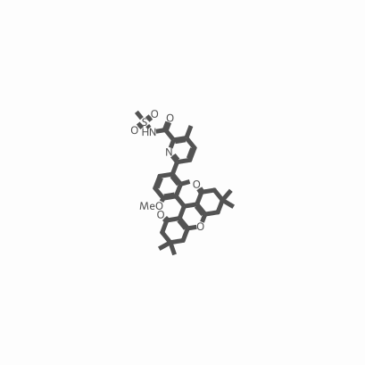 COc1ccc(-c2ccc(C)c(C(=O)NS(C)(=O)=O)n2)c(C)c1C1C2=C(CC(C)(C)CC2=O)OC2=C1C(=O)CC(C)(C)C2